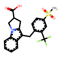 CS(=O)(=O)c1ccc(Cc2c3n(c4ccccc24)CC(C(=O)O)C3)c(C(F)(F)F)c1